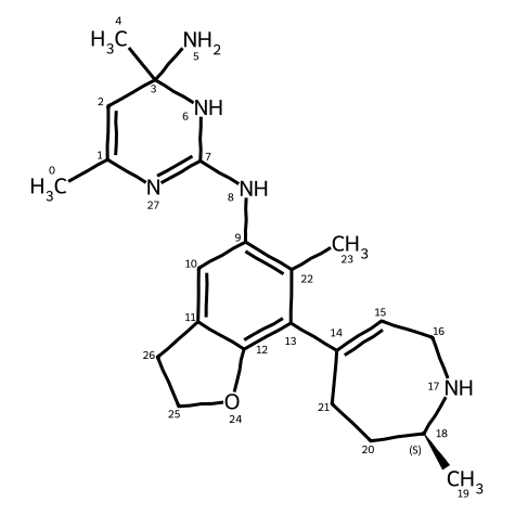 CC1=CC(C)(N)NC(Nc2cc3c(c(C4=CCN[C@@H](C)CC4)c2C)OCC3)=N1